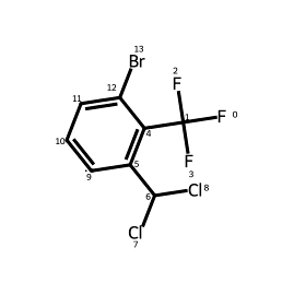 FC(F)(F)c1c(C(Cl)Cl)[c]ccc1Br